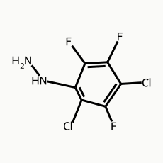 NNc1c(F)c(F)c(Cl)c(F)c1Cl